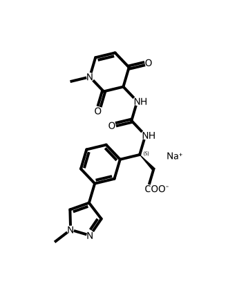 CN1C=CC(=O)C(NC(=O)N[C@@H](CC(=O)[O-])c2cccc(-c3cnn(C)c3)c2)C1=O.[Na+]